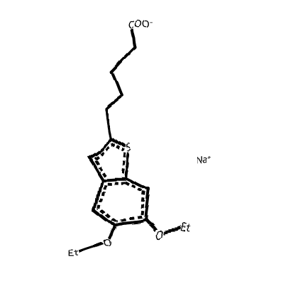 CCOc1cc2cc(CCCCC(=O)[O-])sc2cc1OCC.[Na+]